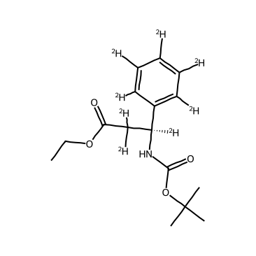 [2H]c1c([2H])c([2H])c([C@@]([2H])(NC(=O)OC(C)(C)C)C([2H])([2H])C(=O)OCC)c([2H])c1[2H]